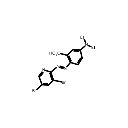 CCN(CC)c1ccc(N=Nc2ncc(Br)cc2Br)c(C(=O)O)c1